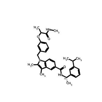 CNC(=O)C(C)Oc1cccc(Cn2c(C)c(C)c3cc(C(=O)N[C@@H](C)c4cccc(C(C)C)c4)ccc32)c1